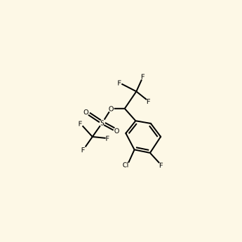 O=S(=O)(OC(c1ccc(F)c(Cl)c1)C(F)(F)F)C(F)(F)F